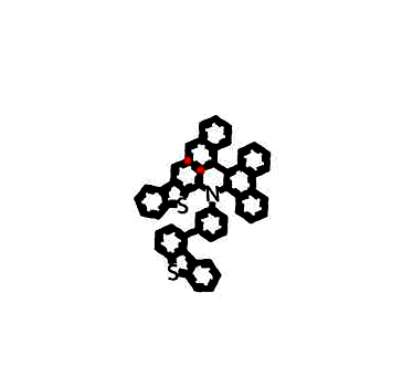 c1cc(-c2cccc3sc4ccccc4c23)cc(N(c2c(-c3cccc4ccccc34)c3ccccc3c3ccccc23)c2cccc3c2sc2ccccc23)c1